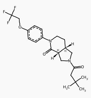 CC(C)(C)CC(=O)N1C[C@H]2CCN(c3ccc(OCC(F)(F)F)cc3)C(=O)[C@H]2C1